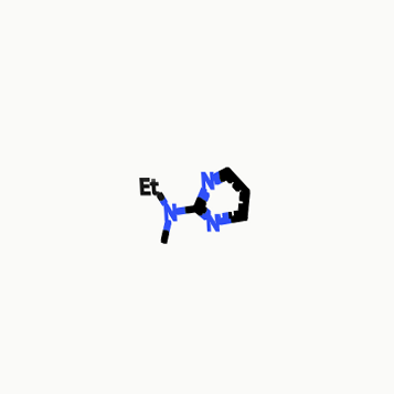 CCN(C)c1ncccn1